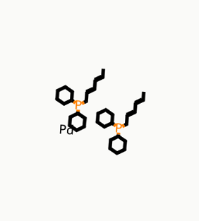 CC=CC=CCP(C1CCCCC1)C1CCCCC1.CC=CC=CCP(C1CCCCC1)C1CCCCC1.[Pd]